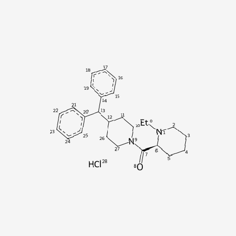 CCN1CCCC[C@H]1C(=O)N1CCC(C(c2ccccc2)c2ccccc2)CC1.Cl